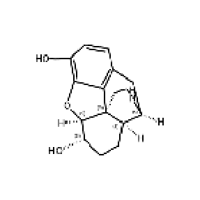 Oc1ccc2c3c1O[C@@H]1[C@@H](O)CC[C@@H]4[C@H](C2)NCC[C@]341